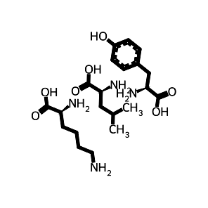 CC(C)C[C@H](N)C(=O)O.NCCCC[C@H](N)C(=O)O.N[C@@H](Cc1ccc(O)cc1)C(=O)O